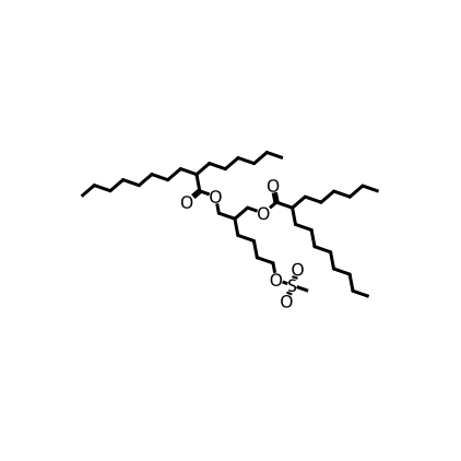 CCCCCCCCC(CCCCCC)C(=O)OCC(CCCCOS(C)(=O)=O)COC(=O)C(CCCCCC)CCCCCCCC